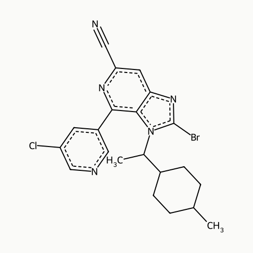 CC1CCC(C(C)n2c(Br)nc3cc(C#N)nc(-c4cncc(Cl)c4)c32)CC1